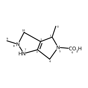 CC1C2=C(CN1C(=O)O)NN(C)C2